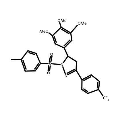 COc1cc(C2CC(c3ccc(C(F)(F)F)cc3)=NN2S(=O)(=O)c2ccc(C)cc2)cc(OC)c1OC